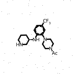 CC(=O)N1CCN(c2cc(C(F)(F)F)ccc2N[C@@H]2CCCNC2)CC1